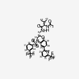 CC(=O)NC(C(=O)NC[C@H]1CN(S(=O)(=O)c2cccc(C(F)(F)F)c2)c2cc(-c3cccc(C(F)(F)F)n3)ccc2O1)C(C)C